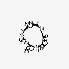 CCC1NCC(=O)N2CCC[C@H]2C(=O)N[C@@H](CC(C)C)C(=O)NC(=O)N[C@@H](C)c2nnc1o2